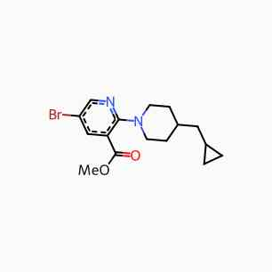 COC(=O)c1cc(Br)cnc1N1CCC(CC2CC2)CC1